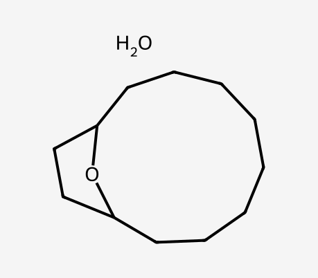 C1CCCCC2CCC(CCC1)O2.O